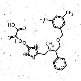 CN(Cc1n[nH]c(=O)[nH]1)C(COCc1cc(C(F)(F)F)cc(C(F)(F)F)c1)c1ccccc1.O=C(O)C(=O)O